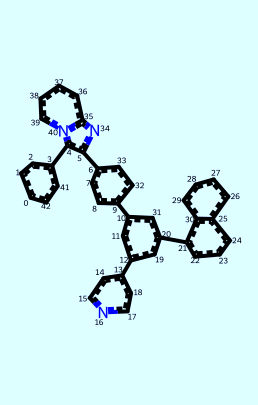 c1ccc(-c2c(-c3ccc(-c4cc(-c5ccncc5)cc(-c5cccc6ccccc56)c4)cc3)nc3ccccn23)cc1